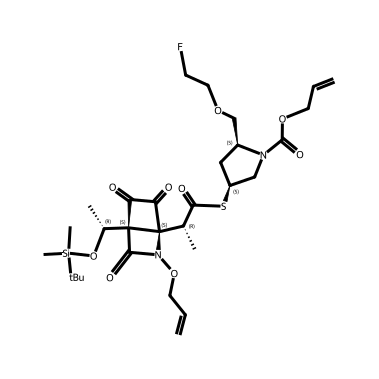 C=CCOC(=O)N1C[C@@H](SC(=O)[C@H](C)[C@@]23C(=O)C(=O)[C@]2([C@@H](C)O[Si](C)(C)C(C)(C)C)C(=O)N3OCC=C)C[C@H]1COCCF